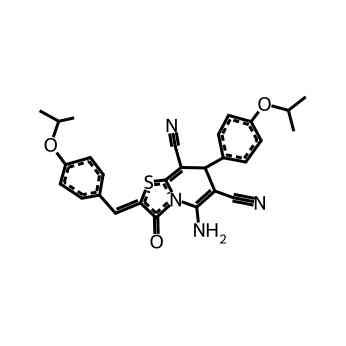 CC(C)Oc1ccc(C=c2sc3n(c2=O)C(N)=C(C#N)C(c2ccc(OC(C)C)cc2)C=3C#N)cc1